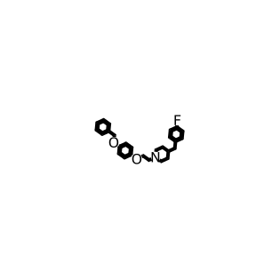 Fc1ccc(CC2CCN(CCOc3ccc(OCc4ccccc4)cc3)CC2)cc1